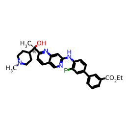 CCOC(=O)c1cccc(-c2ccc(Nc3cc4nc([C@](C)(O)C5CCN(C)CC5)ccc4cn3)c(F)c2)c1